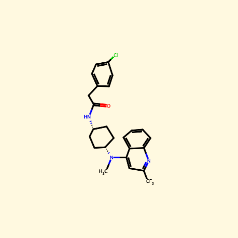 CN(c1cc(C(F)(F)F)nc2ccccc12)[C@H]1CC[C@@H](NC(=O)Cc2ccc(Cl)cc2)CC1